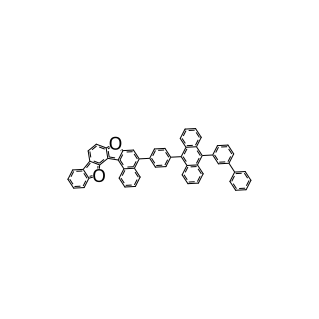 c1ccc(-c2cccc(-c3c4ccccc4c(-c4ccc(-c5cc6oc7ccc8c9ccccc9oc8c7c6c6ccccc56)cc4)c4ccccc34)c2)cc1